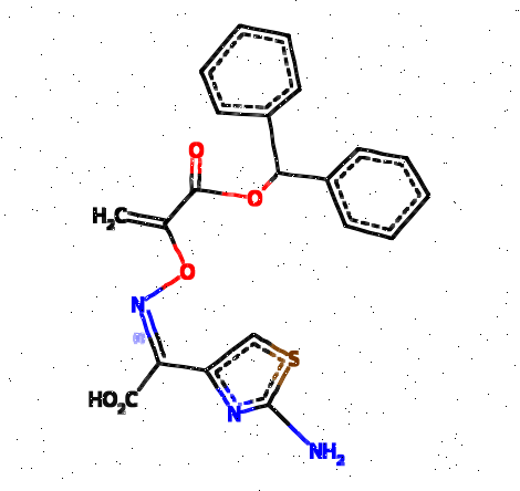 C=C(O/N=C(/C(=O)O)c1csc(N)n1)C(=O)OC(c1ccccc1)c1ccccc1